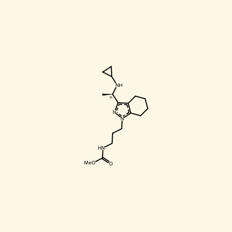 COC(=O)NCCCn1nc([C@@H](C)NC2CC2)c2c1CCCC2